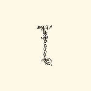 CC(C)(C)OC[C@H](NC(=O)c1ccc(Oc2cccc(C(=O)NCCOCCOCCOCCOCCOCCOCCOCCNc3ccc([N+](=O)[O-])cc3[N+](=O)[O-])c2)nc1)C(=O)O